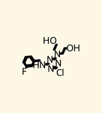 OCCN(CCO)c1nc(Cl)nc(NCc2cccc(F)c2)n1